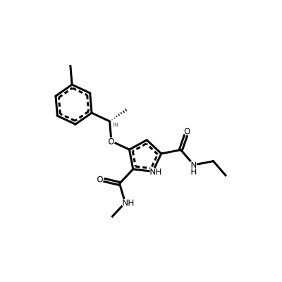 CCNC(=O)c1cc(O[C@@H](C)c2cccc(C)c2)c(C(=O)NC)[nH]1